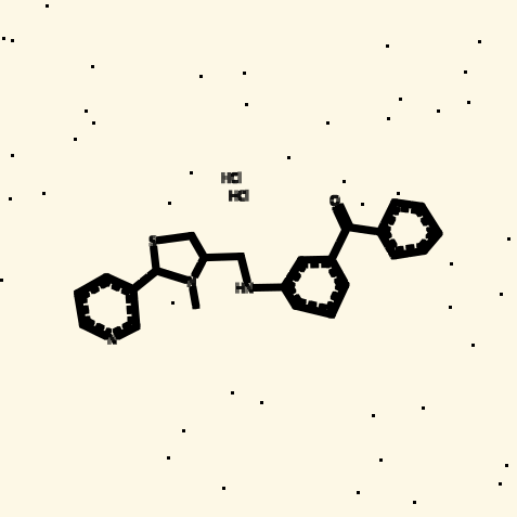 CN1C(CNc2cccc(C(=O)c3ccccc3)c2)CSC1c1cccnc1.Cl.Cl